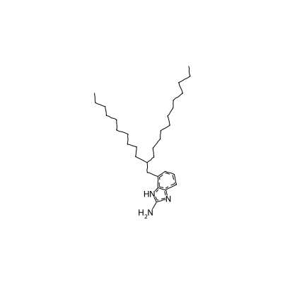 CCCCCCCCCCCCC(CCCCCCCCCC)Cc1cccc2nc(N)[nH]c12